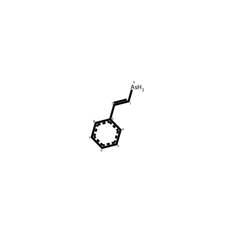 [AsH2]C=Cc1ccccc1